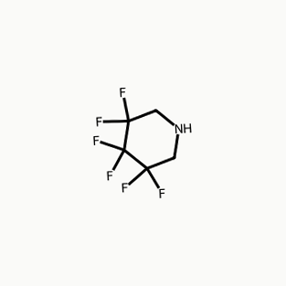 FC1(F)CNCC(F)(F)C1(F)F